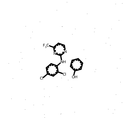 FC(F)(F)c1ccnc(Nc2ccc(Cl)cc2Cl)n1.Oc1ccccc1